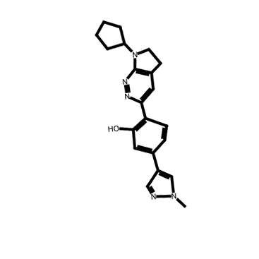 Cn1cc(-c2ccc(-c3cc4c(nn3)N(C3CCCC3)CC4)c(O)c2)cn1